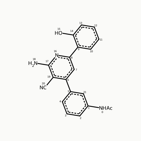 CC(=O)Nc1cccc(-c2cc(-c3ccccc3O)nc(N)c2C#N)c1